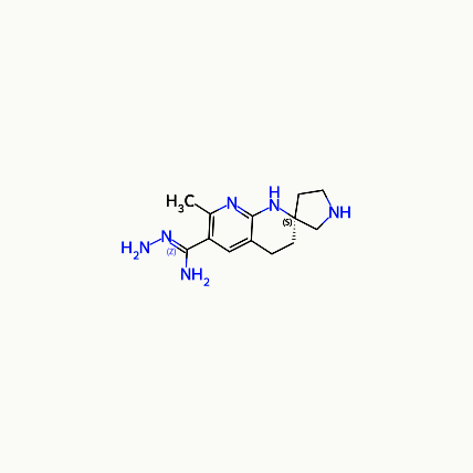 Cc1nc2c(cc1/C(N)=N/N)CC[C@@]1(CCNC1)N2